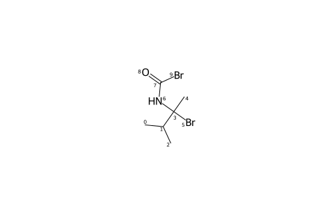 CC(C)C(C)(Br)NC(=O)Br